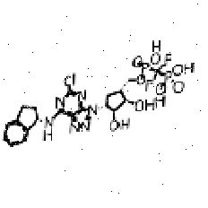 O=P(O)(O)C(F)(F)P(=O)(O)OC[C@H]1C[C@@H](n2nnc3c(N[C@H]4CCc5ccccc54)nc(Cl)nc32)[C@H](O)[C@@H]1O